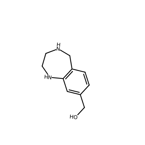 OCc1ccc2c(c1)NCCNC2